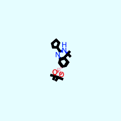 CC1(C)NC(C2CCCC2)=Nc2cc(B3OC(C)(C)C(C)(C)O3)ccc21